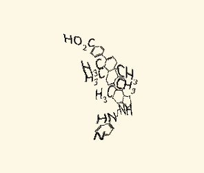 CC1(C)C(c2ccc(C(=O)O)cc2)=CCC2(C)C1CCC1(C)C2CCC2C3CCCC3(NCCNc3ccncc3)CC[C@]21C